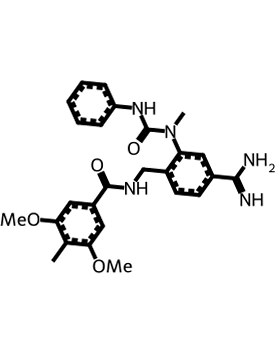 COc1cc(C(=O)NCc2ccc(C(=N)N)cc2N(C)C(=O)Nc2ccccc2)cc(OC)c1C